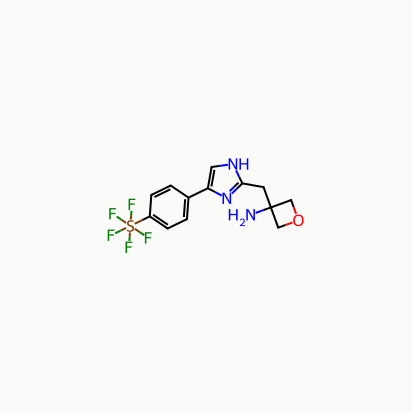 NC1(Cc2nc(-c3ccc(S(F)(F)(F)(F)F)cc3)c[nH]2)COC1